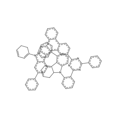 C1=CCCC(n2c3cc(-c4ccccc4)ccc3c3c(-c4cccc5c4C4=CC=CCC4N5c4ccccc4-c4nc(-c5ccccc5)nc(-c5ccc6c7ccccc7c7ccccc7c6c5)n4)cccc32)=C1